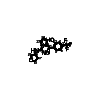 Oc1cc(C(F)(F)F)ccc1-c1nnc(N[C@H]2CCOC2)n2cccc12